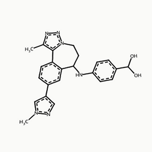 Cc1nnn2c1-c1ccc(-c3cnn(C)c3)cc1C(Nc1ccc(C(O)O)cc1)CC2